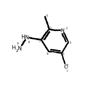 Cc1ncc(Cl)cc1NN